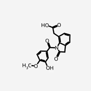 COc1ccc(C(=O)N2C(=O)Cc3cccc(CC(=O)O)c32)cc1O